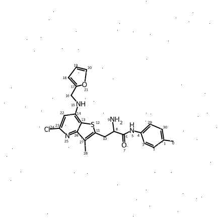 Cc1ccc(NC(=O)C(N)Cc2sc3c(NCc4ccco4)cc(Cl)nc3c2C)cc1